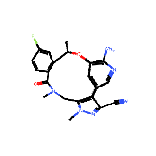 C[C@H]1Oc2cc(cnc2N)-c2c(C#N)nn(C)c2CN(C)C(=O)c2ccc(F)cc21